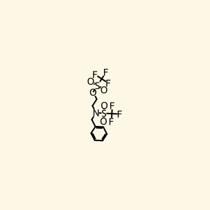 O=S(=O)(OCCN(Cc1ccccc1)S(=O)(=O)C(F)(F)F)C(F)(F)F